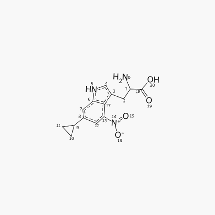 NC(Cc1c[nH]c2cc(C3CC3)cc([N+](=O)[O-])c12)C(=O)O